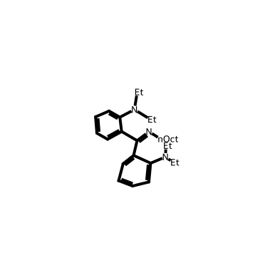 CCCCCCCCN=C(c1ccccc1N(CC)CC)c1ccccc1N(CC)CC